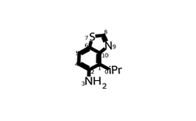 CC(C)c1c(N)ccc2scnc12